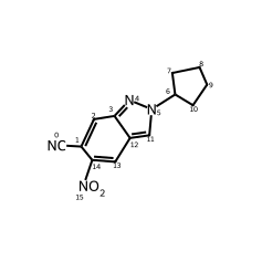 N#Cc1cc2nn(C3CCCC3)cc2cc1[N+](=O)[O-]